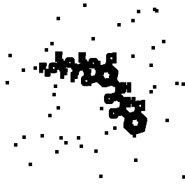 O=C(NC(=O)c1ccccc1Cl)Nc1cc(Cl)c(OC(F)(F)C(F)OC(F)(F)C(F)(F)F)c(Cl)c1